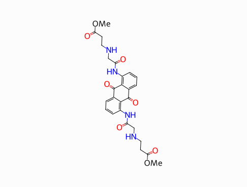 COC(=O)CCNCC(=O)Nc1cccc2c1C(=O)c1cccc(NC(=O)CNCCC(=O)OC)c1C2=O